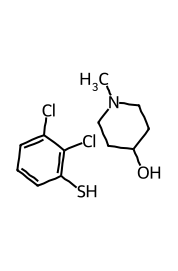 CN1CCC(O)CC1.Sc1cccc(Cl)c1Cl